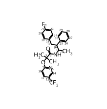 CC(NC(=O)C(C)(C)Oc1ccc(C(F)(F)F)cn1)C(Cc1ccc(F)cc1)c1ccccc1